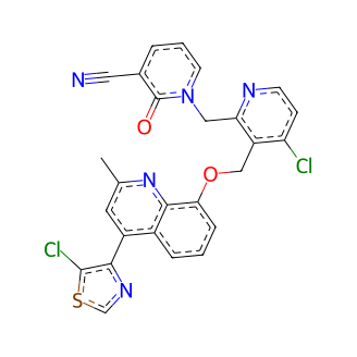 Cc1cc(-c2ncsc2Cl)c2cccc(OCc3c(Cl)ccnc3Cn3cccc(C#N)c3=O)c2n1